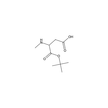 CNC(CC(=O)O)C(=O)OC(C)(C)C